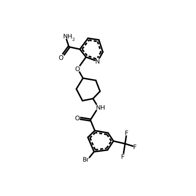 NC(=O)c1cccnc1OC1CCC(NC(=O)c2cc(Br)cc(C(F)(F)F)c2)CC1